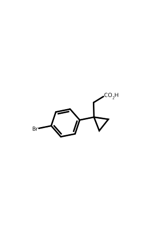 O=C(O)CC1(c2ccc(Br)cc2)CC1